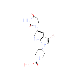 O=C1CCN(c2cnc3c(c2)c(Br)cn3C2CCN(C(=O)O)CC2)C(=O)N1